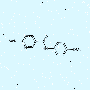 CNc1ccc(C(=S)Nc2ccc(OC)cc2)cn1